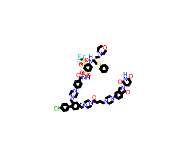 C[C@@]1(CN2CCN(C(=O)CCCN3CCN(c4ccc5c(c4)CN(C4CCC(=O)NC4=O)C5=O)CC3)CC2)CCC(c2ccc(Cl)cc2)=C(CN2CCN(c3ccc(C(=O)NS(=O)(=O)c4ccc(N[C@H](CCN5CCCOCC5)CSc5ccccc5)c(S(=O)(=O)C(F)(F)F)c4)cc3)CC2)C1